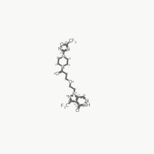 O=C(CCOCCn1nc(C(F)(F)F)c2c(=O)[nH]ncc21)N1CCN(c2noc(C(F)(F)F)n2)CC1